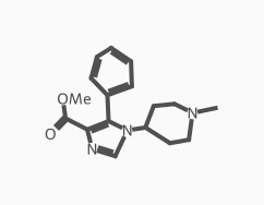 COC(=O)c1ncn(C2CCN(C)CC2)c1-c1ccccc1